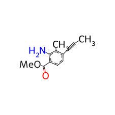 CC#Cc1ccc(C(=O)OC)c(N)c1C